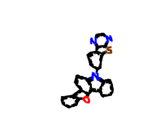 c1ccc2c(c1)oc1c2ccc2c1c1ccccc1n2-c1ccc2c(c1)sc1nccnc12